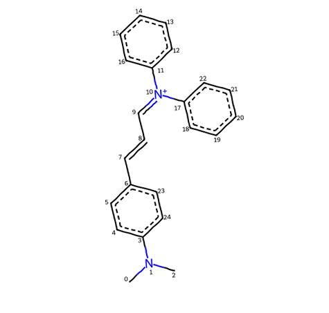 CN(C)c1ccc(C=CC=[N+](c2ccccc2)c2ccccc2)cc1